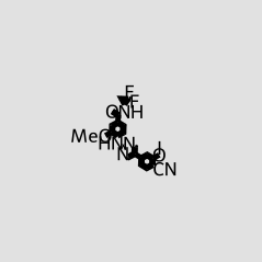 COc1cc(C(=O)NC2CC2(F)F)ccc1Nc1ncc(-c2ccc(C#N)c(OI)c2)cn1